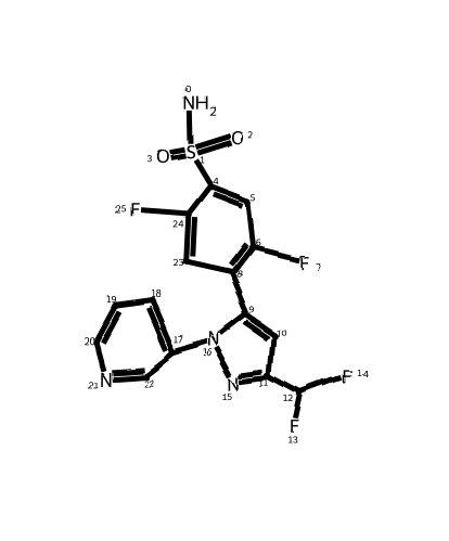 NS(=O)(=O)c1cc(F)c(-c2cc(C(F)F)nn2-c2cccnc2)cc1F